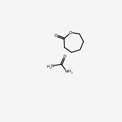 NC(N)=O.O=C1CCCCCO1